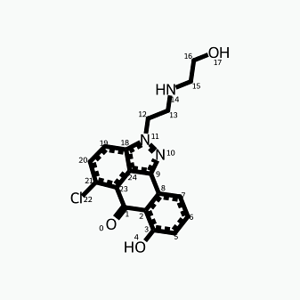 O=C1c2c(O)cccc2-c2nn(CCNCCO)c3ccc(Cl)c1c23